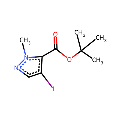 Cn1ncc(I)c1C(=O)OC(C)(C)C